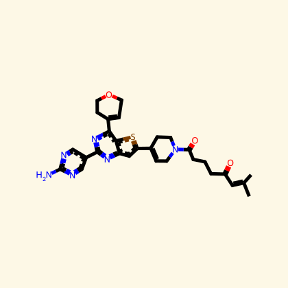 CC(C)=CC(=O)CCCC(=O)N1CC=C(c2cc3nc(-c4cnc(N)nc4)nc(C4=CCOCC4)c3s2)CC1